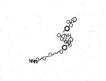 COC(=O)[C@H](Cc1ccc(OC(=O)N2CCCC2)cc1)NC(=O)[C@@H]1CCCN1S(=O)(=O)c1ccc(OCCCCOCCOCCON=[N+]=[N-])cc1